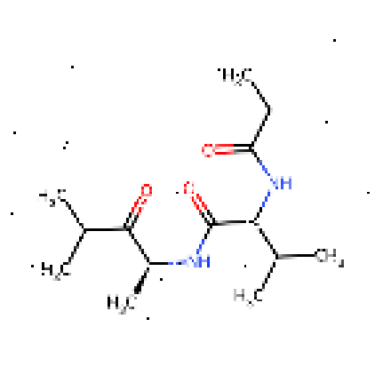 CCC(=O)NC(C(=O)N[C@@H](C)C(=O)C(C)C)C(C)C